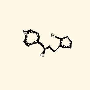 O=C(C=Cc1ccccc1Br)c1ccncc1